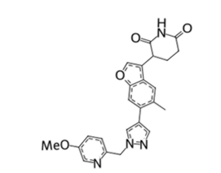 COc1ccc(Cn2cc(-c3cc4occ(C5CCC(=O)NC5=O)c4cc3C)cn2)nc1